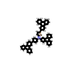 c1ccc2c(c1)c1ccccc1c1cc(-c3ccc(N(c4ccc5c6ccccc6c6ccccc6c5c4)c4ccc(-c5ccc6c7ccccc7c7ccccc7c6c5)s4)cc3)ccc21